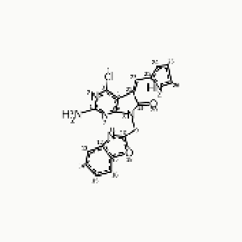 Nc1nc(Cl)c2c(n1)N(Cc1nc3ccccc3o1)C(=O)C2=Cc1ccc[nH]1